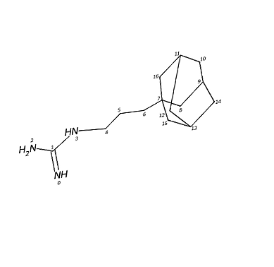 N=C(N)NCCCC12CC3CC(CC(C3)C1)C2